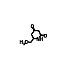 CCC1CC(=O)CC(=O)N1